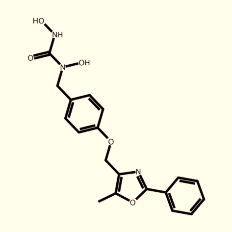 Cc1oc(-c2ccccc2)nc1COc1ccc(CN(O)C(=O)NO)cc1